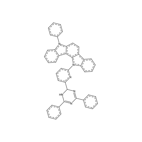 c1ccc(C2=NC(c3cccc(-n4c5ccccc5c5ccc6c(c7ccccc7n6-c6ccccc6)c54)n3)NC(c3ccccc3)=N2)cc1